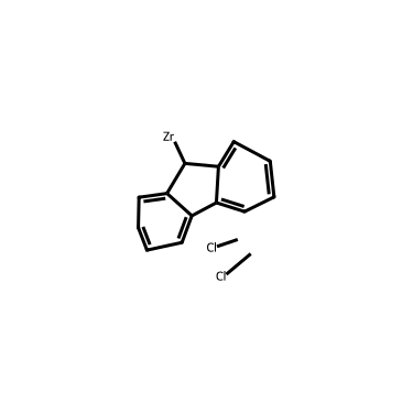 CCl.CCl.[Zr][CH]1c2ccccc2-c2ccccc21